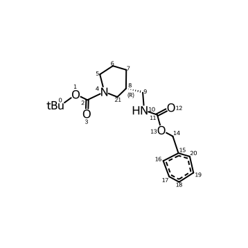 CC(C)(C)OC(=O)N1CCC[C@H](CNC(=O)OCc2ccccc2)C1